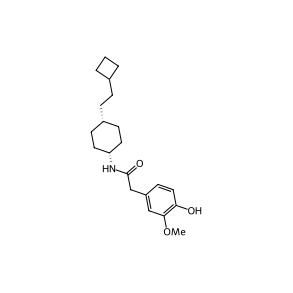 COc1cc(CC(=O)N[C@H]2CC[C@@H](CCC3CCC3)CC2)ccc1O